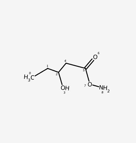 CCC(O)CC(=O)ON